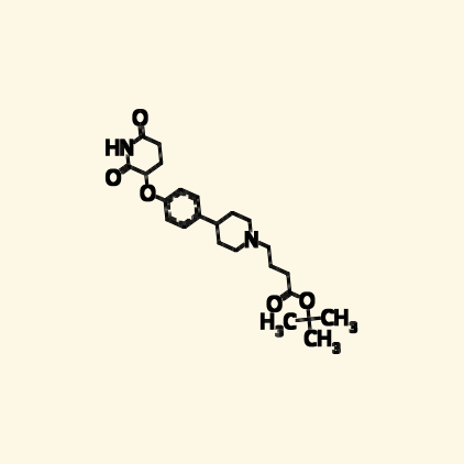 CC(C)(C)OC(=O)CCCN1CCC(c2ccc(OC3CCC(=O)NC3=O)cc2)CC1